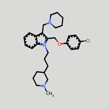 CN1CCCC(CCCn2c(COc3ccc(Cl)cc3)c(CN3CCCCC3)c3ccccc32)C1